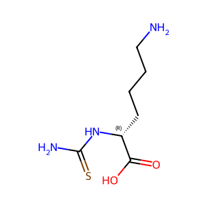 NCCCC[C@@H](NC(N)=S)C(=O)O